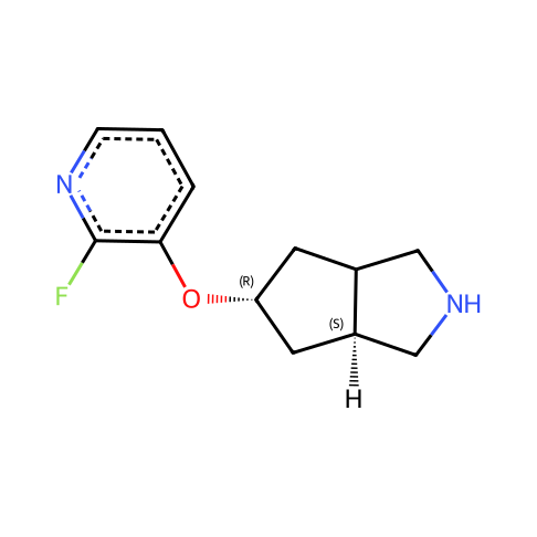 Fc1ncccc1O[C@@H]1CC2CNC[C@H]2C1